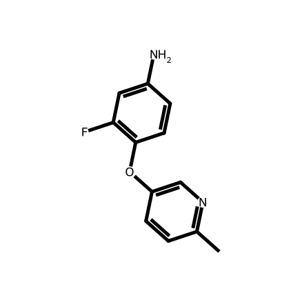 Cc1ccc(Oc2ccc(N)cc2F)cn1